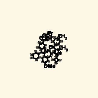 COc1ccc2c(c1)C=C(c1c(C(=O)N3CCN(C)CC3)c(C)nn1C1CCC1)Cn1c-2c(C2CCCCC2)c2ccc(C(=O)NS(=O)(=O)C(C)C)cc21